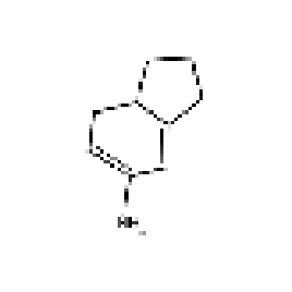 NC1=CCC2CCCC2=C1